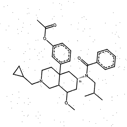 COC1C[C@@H](N(CC(C)C)C(=O)c2ccccc2)CC2(c3cccc(OC(C)=O)c3)CCN(CC3CC3)CC12